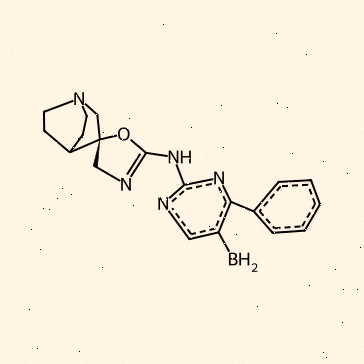 Bc1cnc(NC2=NC[C@@]3(CN4CCC3CC4)O2)nc1-c1ccccc1